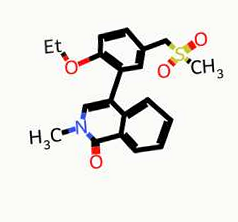 CCOc1ccc(CS(C)(=O)=O)cc1-c1cn(C)c(=O)c2ccccc12